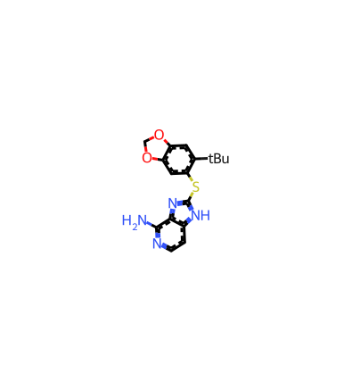 CC(C)(C)c1cc2c(cc1Sc1nc3c(N)nccc3[nH]1)OCO2